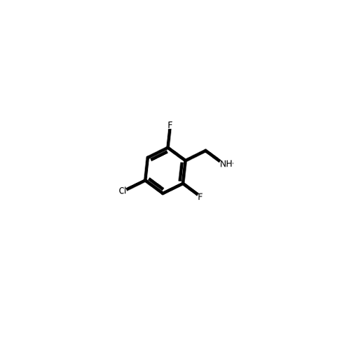 [NH]Cc1c(F)cc(Cl)cc1F